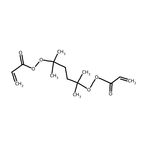 C=CC(=O)OOC(C)(C)CCC(C)(C)OOC(=O)C=C